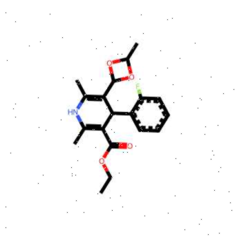 CCOC(=O)C1=C(C)NC(C)=C(C2OC(C)O2)C1c1ccccc1F